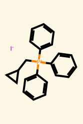 [I-].c1ccc([P+](CC2CC2)(c2ccccc2)c2ccccc2)cc1